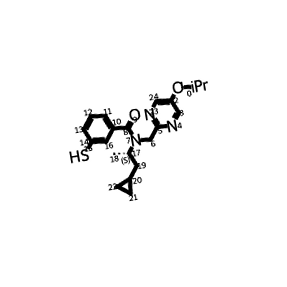 CC(C)Oc1cnc(CN(C(=O)c2cccc(S)c2)[C@@H](C)CC2CC2)nc1